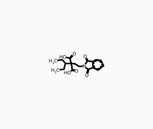 CCC(CC)C(CCN1C(=O)c2ccccc2C1=O)(C(=O)O)C(=O)O